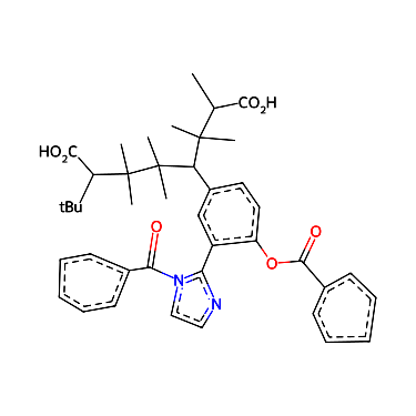 CC(C(=O)O)C(C)(C)C(c1ccc(OC(=O)c2ccccc2)c(-c2nccn2C(=O)c2ccccc2)c1)C(C)(C)C(C)(C)C(C(=O)O)C(C)(C)C